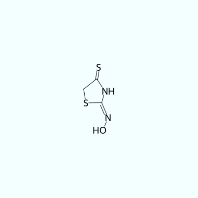 ON=C1NC(=S)CS1